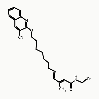 CC(C=CCCCCCCCOc1nc2ccccc2cc1C#N)=CC(=O)NCC(C)C